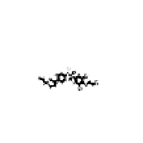 CCCN1CCC(c2ccc(NS(=O)(=O)c3cc(Br)c(OCCF)c(Br)c3)cc2)C1